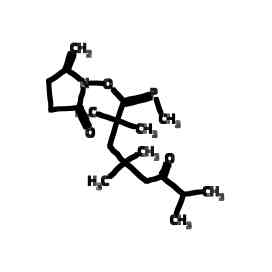 C=C1CCC(=O)N1O/C(=P/C)C(C)(C)CC(C)(C)CC(=O)C(C)C